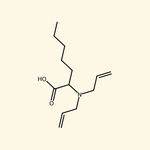 C=CCN(CC=C)C(CCCCC)C(=O)O